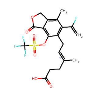 C=C(F)c1c(C)c2c(c(OS(=O)(=O)C(F)(F)F)c1C/C=C(\C)CCC(=O)O)C(=O)OC2